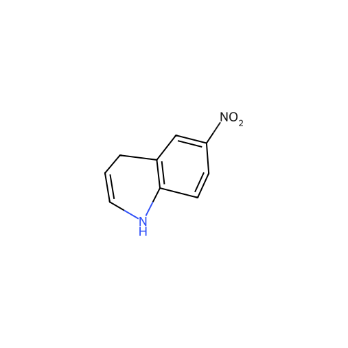 O=[N+]([O-])c1ccc2c(c1)CC=CN2